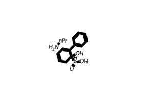 CCCN.O=[PH](O)C1(O)CC=CC=C1c1ccccc1